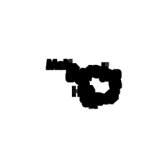 CNc1ccn(-c2ccnc3c2cc(CN2CCC(c4c(C)cc(C(=O)N5CCC(CN6CCN(Cc7ccc8c(c7)n(C)c(=O)n8C7CCC(=O)NC7=O)CC6)CC5)cc4F)CC2)n3C)c(=O)c1